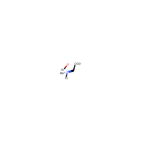 CC(=O)[O-].CCN=CC(=O)[O-].[Ba+2]